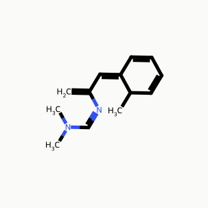 C=C(/C=C1/C=CC=CC1C)/N=C\N(C)C